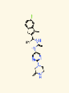 C=C1CN(c2ncc(NC(=C)NC(C3=C(C)c4cc(F)ccc4C3)C(C)C)cn2)CCN1